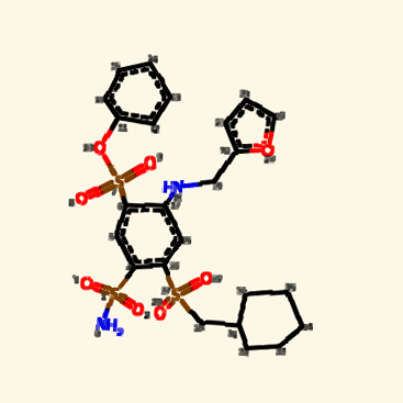 NS(=O)(=O)c1cc(S(=O)(=O)Oc2ccccc2)c(NCc2ccco2)cc1S(=O)(=O)CC1CCCCC1